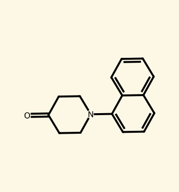 O=C1CCN(c2cccc3ccccc23)CC1